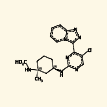 C[C@]1(NC(=O)O)CCC[C@@H](Nc2ncc(Cl)c(-c3nnc4ccccn34)n2)C1